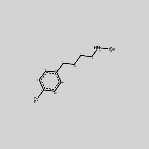 CCc1ccc(CCCCNC(C)(C)C)cc1